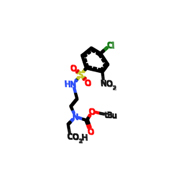 CC(C)(C)OC(=O)N(CCNS(=O)(=O)c1ccc(Cl)cc1[N+](=O)[O-])CC(=O)O